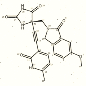 COc1ccc2c(c1)C(=O)N(C[C@@]1(C#Cc3ccc(C)[nH]c3=O)NC(=O)NC1=O)C2